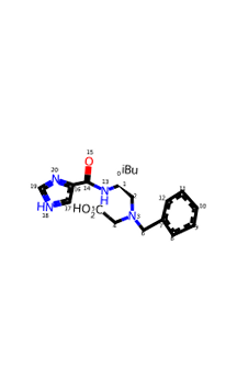 CC[C@H](C)[C@@H](CN(CC(=O)O)Cc1ccccc1)NC(=O)c1c[nH]cn1